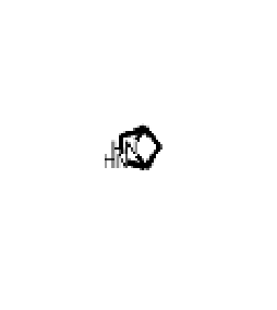 C1NC2CC1N2